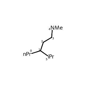 CCCC(CCNC)C(C)C